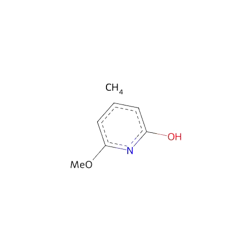 C.COc1cccc(O)n1